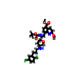 COC(=O)c1ccc(CC(NC(=O)OC(C)(C)C)[C@H]2CC[C@H](NC/C=C/c3cc(F)ccc3F)CO2)c2nc(OC)ccc12